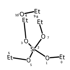 CCO[Si](OCC)(OCC)OCC.CC[O]